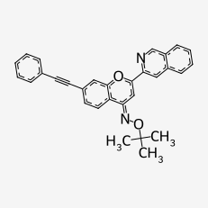 CC(C)(C)ON=c1cc(-c2cc3ccccc3cn2)oc2cc(C#Cc3ccccc3)ccc12